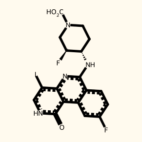 O=C(O)N1CC[C@H](Nc2nc3c(I)c[nH]c(=O)c3c3cc(F)ccc23)[C@@H](F)C1